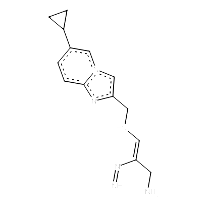 N=N/C(=C\NCc1cn2cc(C3CC3)ccc2n1)CN